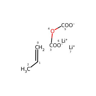 C=CC.O=C([O-])OC(=O)[O-].[Li+].[Li+]